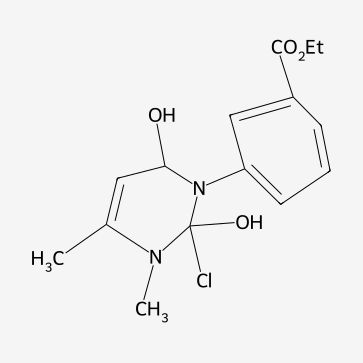 CCOC(=O)c1cccc(N2C(O)C=C(C)N(C)C2(O)Cl)c1